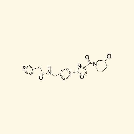 O=C(Cc1ccsc1)NCc1ccc(-c2nc(C(=O)N3CCCC(Cl)C3)co2)cc1